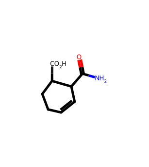 NC(=O)C1C=CCCC1C(=O)O